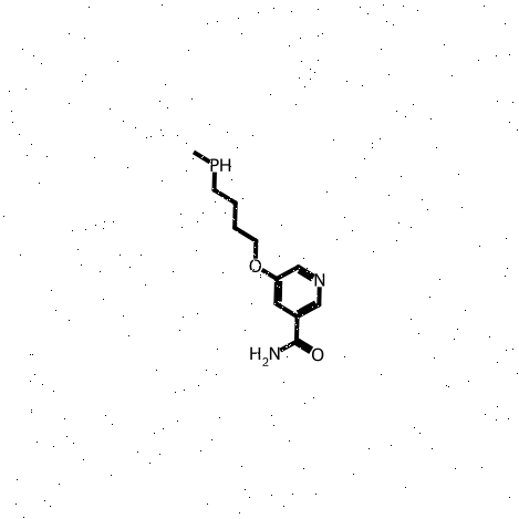 CPCCCCOc1cncc(C(N)=O)c1